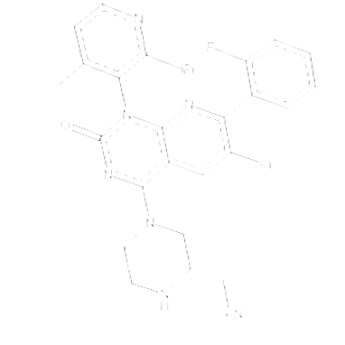 Cc1ccnc(C(C)C)c1-n1c(=O)nc(N2CCN[C@@H](CC#N)C2)c2cc(Cl)c(-c3ccccc3F)nc21